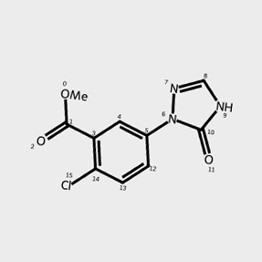 COC(=O)c1cc(-n2nc[nH]c2=O)ccc1Cl